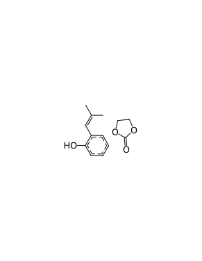 CC(C)=Cc1ccccc1O.O=C1OCCO1